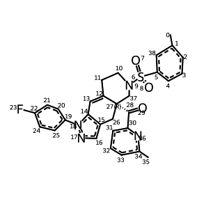 Cc1cccc(S(=O)(=O)N2CCC3=Cc4c(cnn4-c4ccc(F)cc4)C[C@]3(C(=O)c3cccc(C)n3)C2)c1